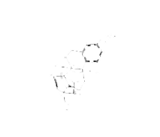 COc1ccc2c(c1)CC[C@@H]1[C@@H]2CC[C@]2(C)[C@@]3(O)C=C[C@]12C[C@@H]3O